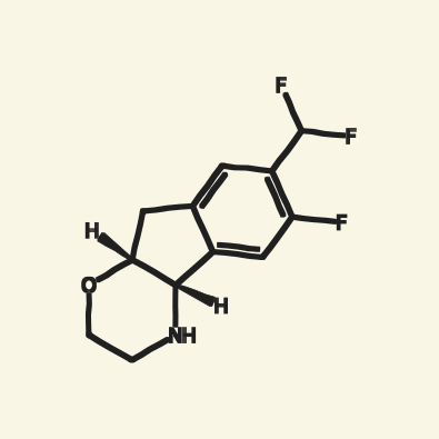 Fc1cc2c(cc1C(F)F)C[C@H]1OCCN[C@@H]21